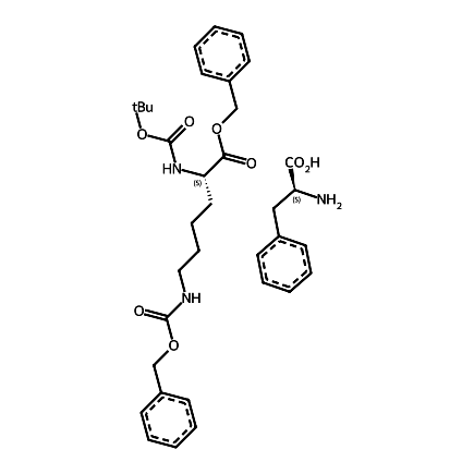 CC(C)(C)OC(=O)N[C@@H](CCCCNC(=O)OCc1ccccc1)C(=O)OCc1ccccc1.N[C@@H](Cc1ccccc1)C(=O)O